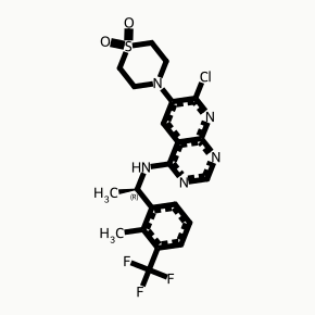 Cc1c([C@@H](C)Nc2ncnc3nc(Cl)c(N4CCS(=O)(=O)CC4)cc23)cccc1C(F)(F)F